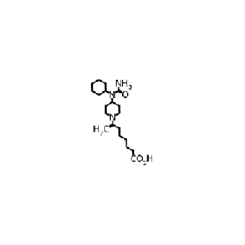 C=C(CCCCCC(=O)O)N1CCC(N(C(N)=O)C2CCCCC2)CC1